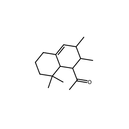 CC(=O)C1C(C)C(C)C=C2CCCC(C)(C)C21